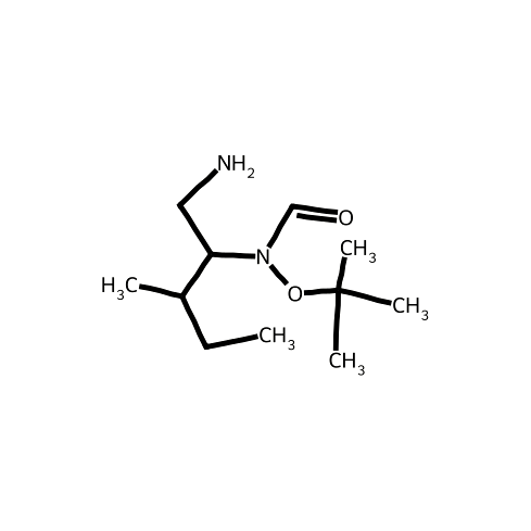 CCC(C)C(CN)N(C=O)OC(C)(C)C